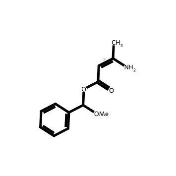 COC(OC(=O)/C=C(/C)N)c1ccccc1